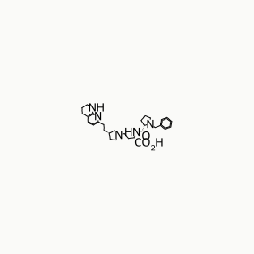 O=C(O)C(CCN1CC[C@@H](CCc2ccc3c(n2)NCCC3)C1)NC(=O)[C@@H]1CCCN1Cc1ccccc1